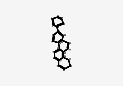 [c]1ccccc1-c1ccc2c(ccc3c4c(ccc32)C=CCC4)c1